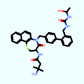 CC(O)NC(=O)NCc1ccccc1-c1ccc(CN2C(=O)C(NC(=O)CC(C)(C)N)CSc3c2ccc2ccccc32)cc1